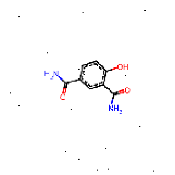 NC(=O)c1ccc(O)c(C(N)=O)c1